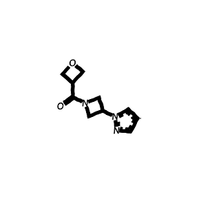 O=C(C1COC1)N1CC(n2c[c]cn2)C1